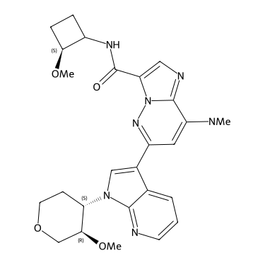 CNc1cc(-c2cn([C@H]3CCOC[C@@H]3OC)c3ncccc23)nn2c(C(=O)NC3CC[C@@H]3OC)cnc12